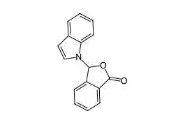 O=C1OC(n2ccc3ccccc32)c2ccccc21